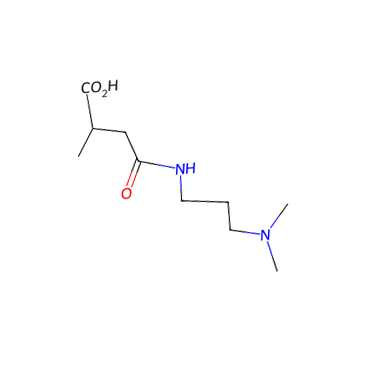 CC(CC(=O)NCCCN(C)C)C(=O)O